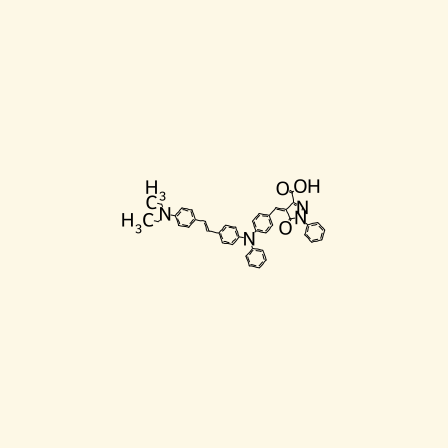 CCN(CC)c1ccc(/C=C/c2ccc(N(c3ccccc3)c3ccc(/C=C4\C(=O)N(c5ccccc5)N=C4C(=O)O)cc3)cc2)cc1